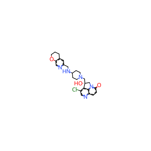 O=c1ccc2ncc(Cl)c3c2n1C[C@]3(O)CN1CCC(NCc2cc3c(cn2)OCCC3)CC1